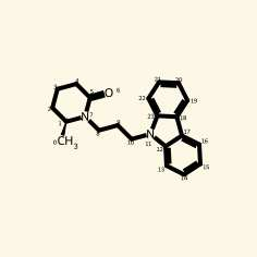 C[C@H]1CCCC(=O)N1CCCn1c2ccccc2c2ccccc21